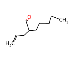 C=CCC(C=O)CCCCC